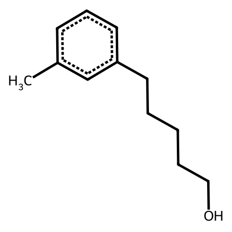 Cc1cccc(CCCCCO)c1